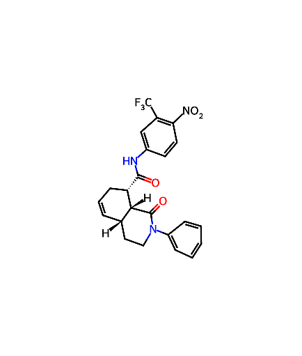 O=C(Nc1ccc([N+](=O)[O-])c(C(F)(F)F)c1)[C@H]1CC=C[C@H]2CCN(c3ccccc3)C(=O)[C@@H]12